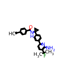 C#Cc1ccc(C(=O)NC2(c3ccc(-c4ccc(C(C)(C)F)c(N)n4)cc3)CC2)cc1